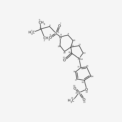 CC(C)(C)CS(=O)(=O)N1CCC2(CCN(c3ccc(OS(C)(=O)=O)cc3)C2=O)CC1